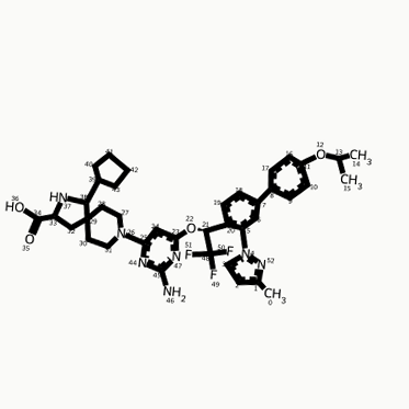 Cc1ccn(-c2cc(-c3ccc(OC(C)C)cc3)ccc2[C@@H](Oc2cc(N3CCC4(CC3)CC(C(=O)O)NC4C3CCCC3)nc(N)n2)C(F)(F)F)n1